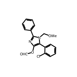 COCn1c(-c2ccccc2)nc(OC=O)c1-c1ccccc1Cl